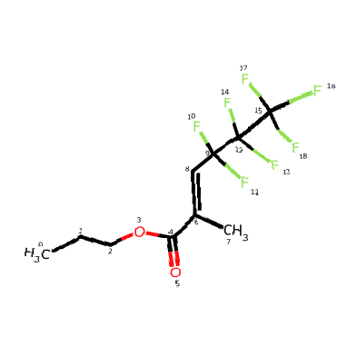 CCCOC(=O)C(C)=CC(F)(F)C(F)(F)C(F)(F)F